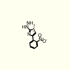 NNc1nc(-c2ccccc2[N+](=O)[O-])cs1